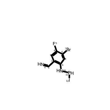 N=Cc1cc(F)c(Br)cc1NPI